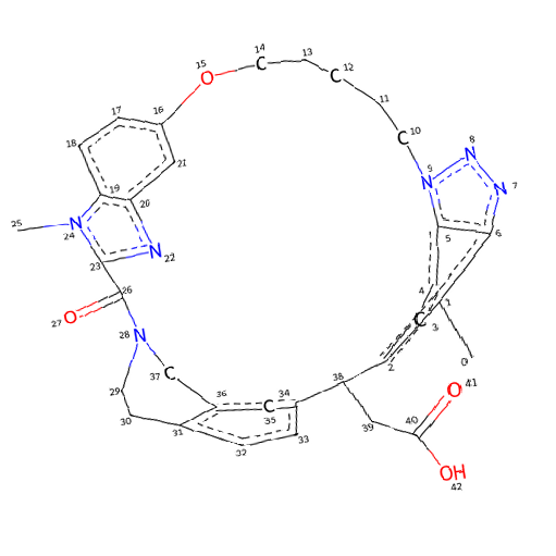 Cc1c2ccc3c1nnn3CCCCCOc1ccc3c(c1)nc(n3C)C(=O)N1CCc3ccc(cc3C1)C2CC(=O)O